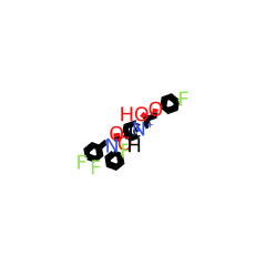 O=C(O[C@H]1C[N+]2(CC(O)COc3ccc(F)cc3)CCC1CC2)N(Cc1ccc(F)c(F)c1)c1ccccc1F